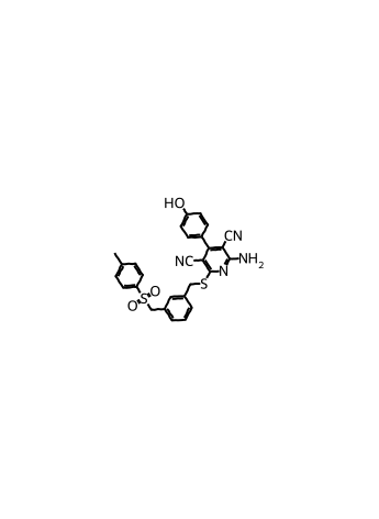 Cc1ccc(S(=O)(=O)Cc2cccc(CSc3nc(N)c(C#N)c(-c4ccc(O)cc4)c3C#N)c2)cc1